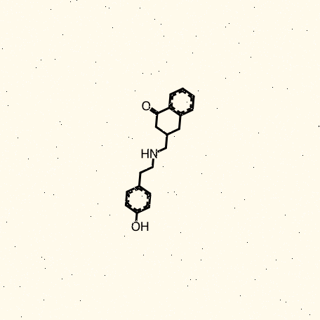 O=C1CC(CNCCc2ccc(O)cc2)Cc2ccccc21